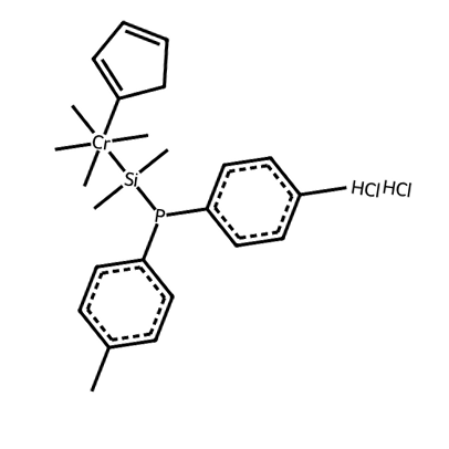 Cc1ccc(P(c2ccc(C)cc2)[Si](C)(C)[Cr]([CH3])([CH3])([CH3])([CH3])[C]2=CC=CC2)cc1.Cl.Cl